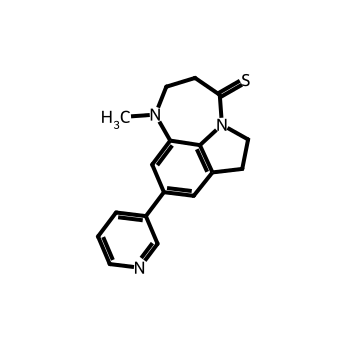 CN1CCC(=S)N2CCc3cc(-c4cccnc4)cc1c32